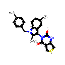 COc1ccc(Cn2c(C(=O)O)c(-n3c(=O)[nH]c4cscc4c3=O)c3cc(C(F)(F)F)ccc32)cc1